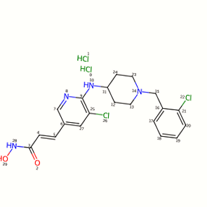 Cl.Cl.O=C(/C=C/c1cnc(NC2CCN(Cc3ccccc3Cl)CC2)c(Cl)c1)NO